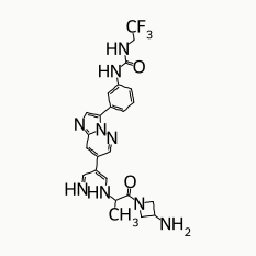 CC(N/C=C(\C=N)c1cnn2c(-c3cccc(NC(=O)NCC(F)(F)F)c3)cnc2c1)C(=O)N1CC(N)C1